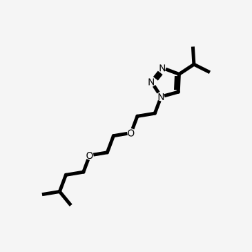 CC(C)CCOCCOCCn1cc(C(C)C)nn1